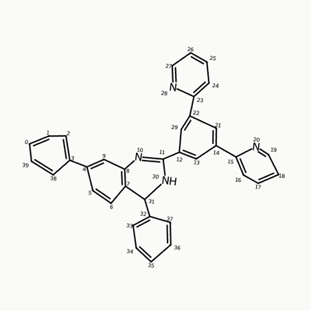 c1ccc(-c2ccc3c(c2)N=C(c2cc(-c4ccccn4)cc(-c4ccccn4)c2)NC3c2ccccc2)cc1